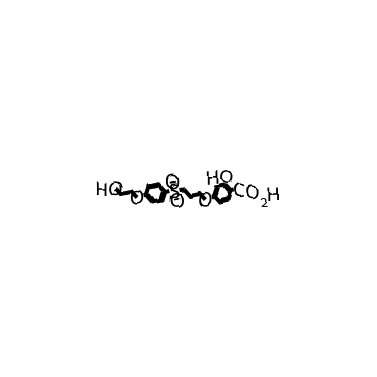 O=C(O)c1ccc(OCCCS(=O)(=O)c2ccc(OCCO)cc2)cc1O